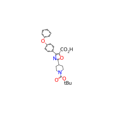 CC(C)(C)OC(=O)N1CCC(c2nc(-c3ccc(Oc4ccccc4)cc3)c(C(=O)O)o2)CC1